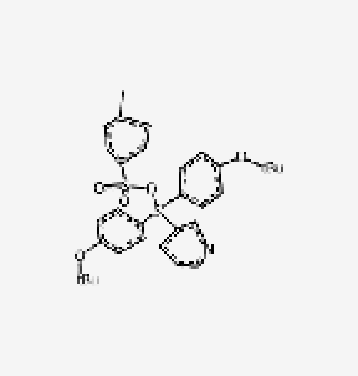 Cc1ccc(S(=O)(=O)OS(c2ccc(OC(C)(C)C)cc2)(c2ccc(OC(C)(C)C)cc2)c2cccnc2)cc1